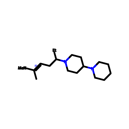 CCC(C/C=C(\C)NC)N1CCC(N2CCCCC2)CC1